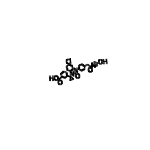 O=C(O)c1cccc(C2(n3c(=O)n(-c4ccc(CC(=O)N5CC(O)C5)cc4)c4cc(Cl)ccc43)CC2)c1